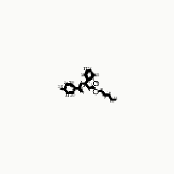 C=C(CC(CC(=O)OCCCCC)c1ccccc1)c1ccc(C)cc1